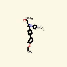 C#CCOc1ccc(-c2ccc(-c3cc(CCC(=O)NC)nn3-c3ccc([N+](=O)[O-])cc3)cc2)cc1